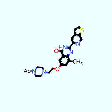 CC(=O)N1CCN(CCOc2cc(C)c3nc(-c4cc5ccsc5cn4)[nH]c(=O)c3c2)CC1